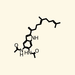 C=C(CC/C=C(\C)CCC=C(C)C)c1cc2cc(NC(C)=O)c(NC(C)=O)cc2[nH]1